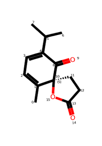 CC1=CC=C(C(C)C)C(=O)[C@]12CCC(=O)O2